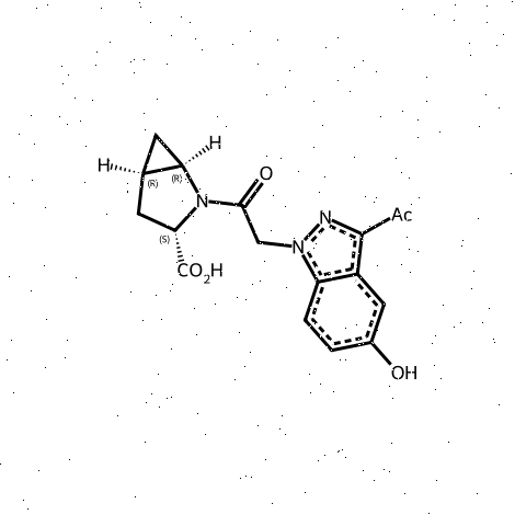 CC(=O)c1nn(CC(=O)N2[C@@H]3C[C@@H]3C[C@H]2C(=O)O)c2ccc(O)cc12